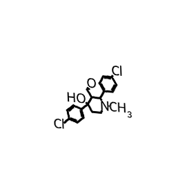 CN1CCC(O)(c2ccc(Cl)cc2)C(C=O)C1c1ccc(Cl)cc1